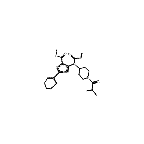 CCC(=O)N(c1cc(C2=CCCCC2)sc1C(=O)OC)C1CCN(C(=O)C(C)C)CC1